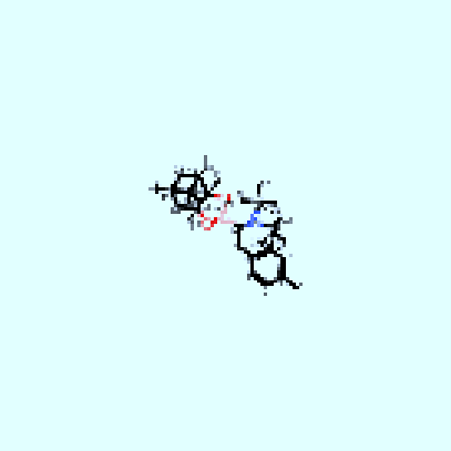 Cc1ccc(CC(B2O[C@@H]3C[C@@H]4C[C@@H](C4(C)C)[C@]3(C)O2)N([Si](C)(C)C)[Si](C)(C)C)c(C)c1